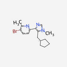 Cc1nc(-c2ncn(C)c2C[C]2CCCC2)ccc1Br